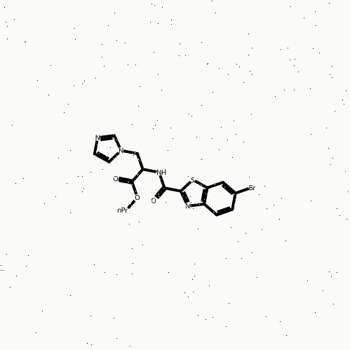 CCCOC(=O)C(Cn1ccnc1)NC(=O)c1nc2ccc(Br)cc2s1